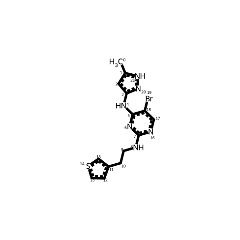 Cc1cc(Nc2nc(NCCc3ccsc3)ncc2Br)n[nH]1